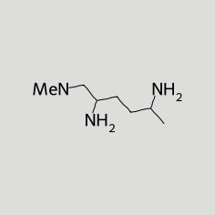 CNCC(N)CCC(C)N